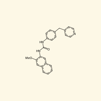 COc1cc2ccccc2cc1NC(=O)Nc1ccc(Cc2ccncc2)cc1